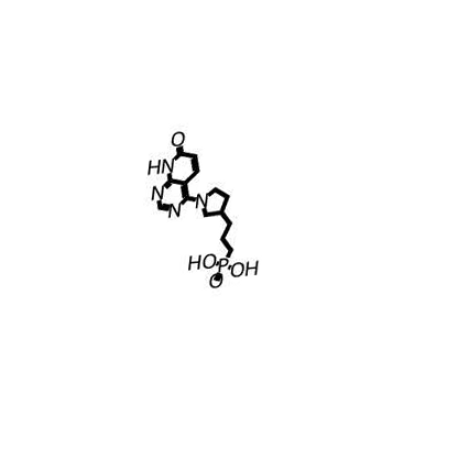 O=c1ccc2c(N3CCC(CCCP(=O)(O)O)C3)ncnc2[nH]1